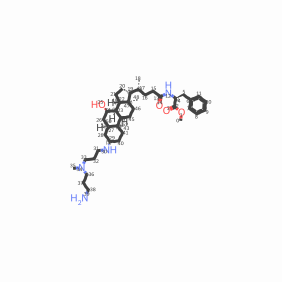 COC(=O)[C@H](Cc1ccccc1)NC(=O)CC[C@@H](C)[C@H]1CC[C@H]2[C@@H]3[C@H](O)C[C@@H]4C[C@@H](NCCCN(C)CCCN)CC[C@]4(C)[C@H]3CC[C@]12C